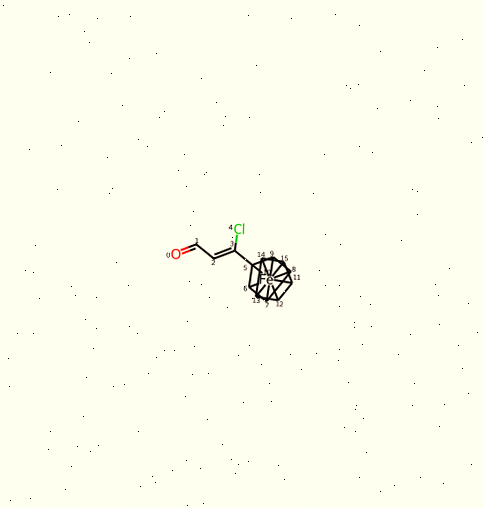 O=CC=C(Cl)[C]12[CH]3[CH]4[CH]5[CH]1[Fe]45321678[CH]2[CH]1[CH]6[CH]7[CH]28